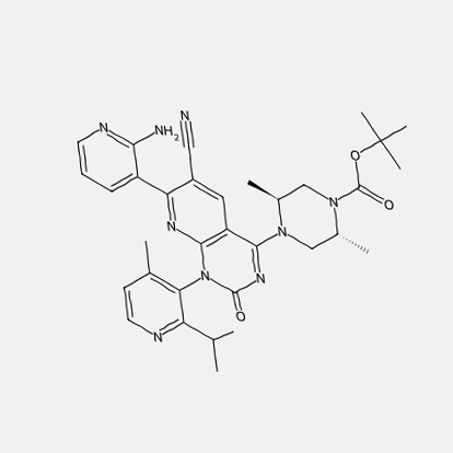 Cc1ccnc(C(C)C)c1-n1c(=O)nc(N2C[C@@H](C)N(C(=O)OC(C)(C)C)C[C@@H]2C)c2cc(C#N)c(-c3cccnc3N)nc21